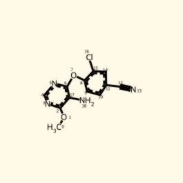 COc1ncnc(Oc2ccc(C#N)cc2Cl)c1N